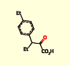 CCc1ccc(C(CC)C(=O)C(=O)O)cc1